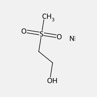 CS(=O)(=O)CCO.[N]